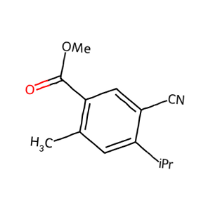 COC(=O)c1cc(C#N)c(C(C)C)cc1C